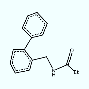 CCC(=O)NCc1ccccc1-c1ccccc1